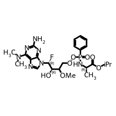 COC(COOP(=O)(N[C@H](C)C(=O)OC(C)C)c1ccccc1)[C@@H](O)[C@@H](F)n1cnc2c(N(C)C)nc(N)nc21